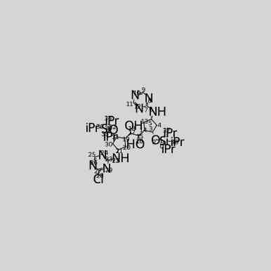 CC(C)[Si](O[C@H]1C[C@H](Nc2ncncn2)C[C@@H]1C(O)C(O)[C@H]1C[C@@H](Nc2ncnc(Cl)n2)C[C@@H]1O[Si](C(C)C)(C(C)C)C(C)C)(C(C)C)C(C)C